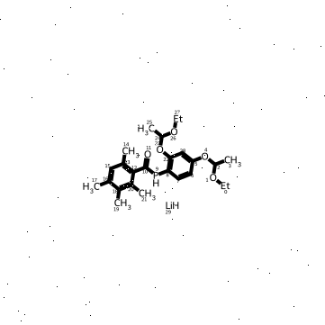 CCOC(C)Oc1ccc(PC(=O)c2c(C)cc(C)c(C)c2C)c(OC(C)OCC)c1.[LiH]